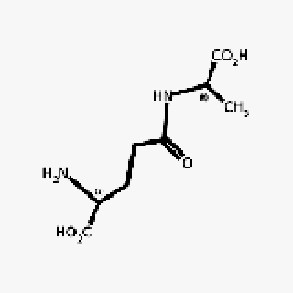 C[C@@H](NC(=O)CC[C@H](N)C(=O)O)C(=O)O